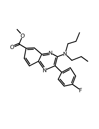 CCCN(CCC)c1nc2cc(C(=O)OC)ccc2nc1-c1ccc(F)cc1